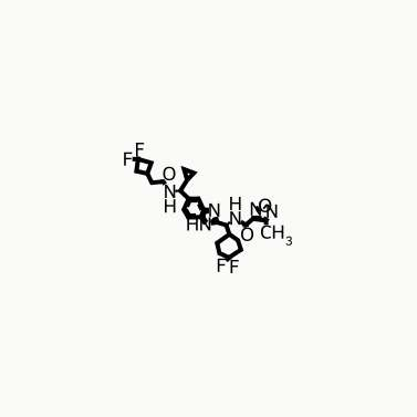 Cc1nonc1C(=O)N[C@H](c1nc2cc([C@@H](NC(=O)CC3CC(F)(F)C3)C3CC3)ccc2[nH]1)C1CCC(F)(F)CC1